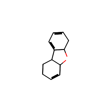 C1=CCC2OC3C=CCCC3C2=C1